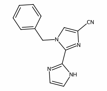 N#Cc1cn(Cc2ccccc2)c(-c2ncc[nH]2)n1